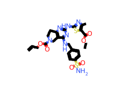 C=CCOC(=O)N1CCc2nc(Nc3nc(C)c(C(=O)OCC)s3)nc(NCc3ccc(S(N)(=O)=O)cc3)c2C1